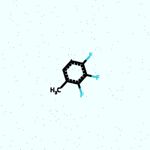 Cc1c[c]c(F)c(F)c1F